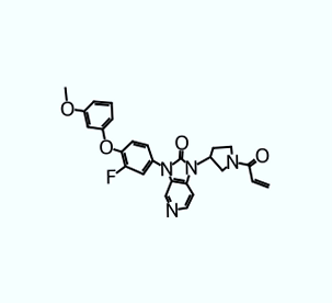 C=CC(=O)N1CCC(n2c(=O)n(-c3ccc(Oc4cccc(OC)c4)c(F)c3)c3cnccc32)C1